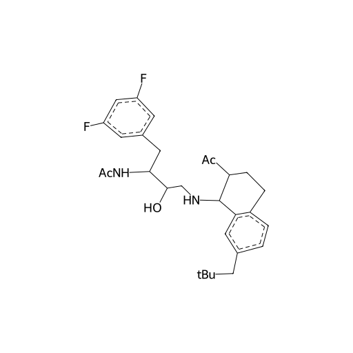 CC(=O)NC(Cc1cc(F)cc(F)c1)C(O)CNC1c2cc(CC(C)(C)C)ccc2CCC1C(C)=O